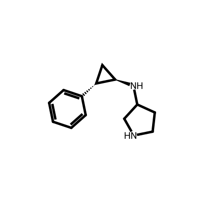 c1ccc([C@@H]2C[C@H]2NC2CCNC2)cc1